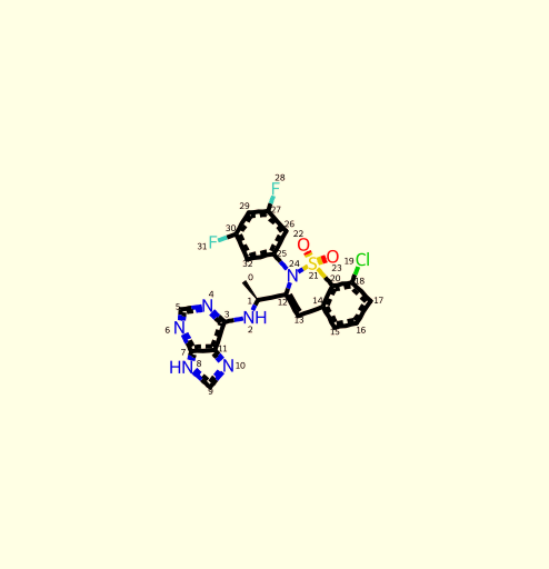 C[C@H](Nc1ncnc2[nH]cnc12)C1=Cc2cccc(Cl)c2S(=O)(=O)N1c1cc(F)cc(F)c1